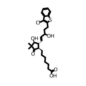 CC1(C)C(=O)[C@H](CCCCCCC(=O)O)[C@@H](/C=C/C(O)CCc2sc3ccccc3c2Cl)[C@@H]1O